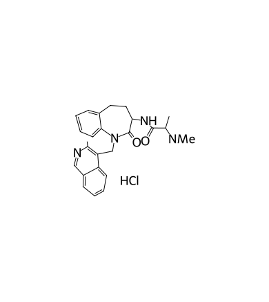 CNC(C)C(=O)NC1CCc2ccccc2N(Cc2c(C)ncc3ccccc23)C1=O.Cl